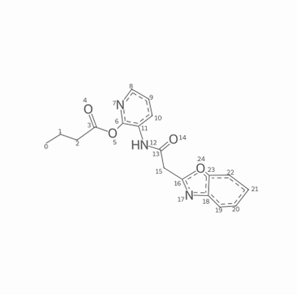 CCCC(=O)Oc1ncccc1NC(=O)Cc1nc2ccccc2o1